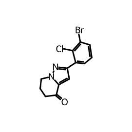 O=C1CCCn2nc(-c3cccc(Br)c3Cl)cc21